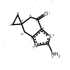 Nc1nc2c(s1)C(=O)CC1(CC1)C2